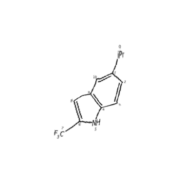 CC(C)c1ccc2[nH]c(C(F)(F)F)cc2c1